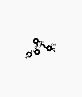 COc1ccc(C=CC(=O)Nc2ccccc2COc2ccccc2OC2CCN(C)CC2)cc1O